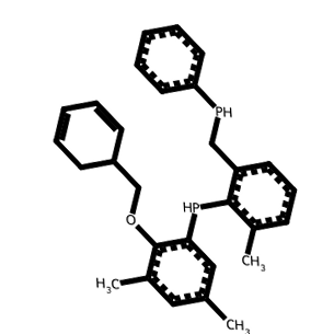 Cc1cc(C)c(OCC2C=CC=CC2)c(Pc2c(C)cccc2CPc2ccccc2)c1